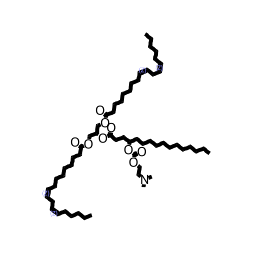 CCCCC/C=C\C/C=C\CCCCCCCC(=O)OCC(COC(=O)CCCCCCC/C=C\C/C=C\CCCCC)OC(=O)CCC(CCCCCCCCCCCC)OC(=O)OCCN(C)C